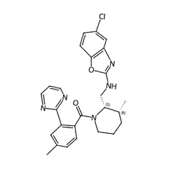 Cc1ccc(C(=O)N2CCC[C@@H](C)[C@H]2CNc2nc3cc(Cl)ccc3o2)c(-c2ncccn2)c1